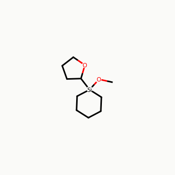 CO[Si]1(C2CCCO2)CCCCC1